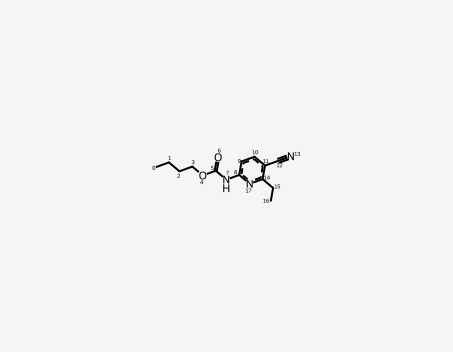 CCCCOC(=O)Nc1ccc(C#N)c(CC)n1